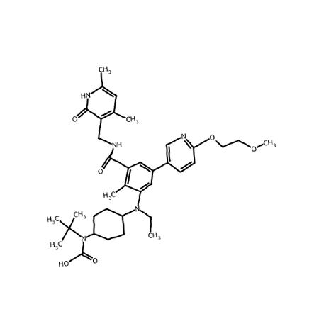 CCN(c1cc(-c2ccc(OCCOC)nc2)cc(C(=O)NCc2c(C)cc(C)[nH]c2=O)c1C)C1CCC(N(C(=O)O)C(C)(C)C)CC1